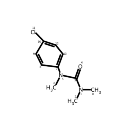 CN(C)C(=O)N(C)c1ccc(Cl)cc1